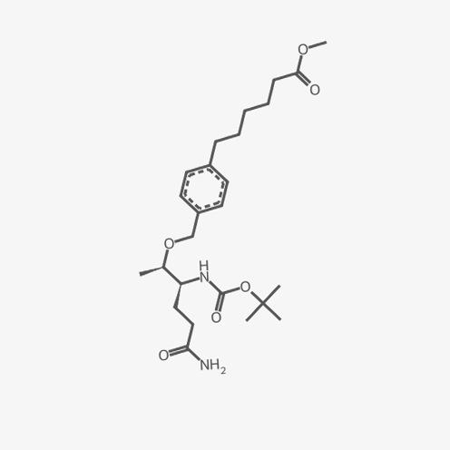 COC(=O)CCCCCc1ccc(CO[C@H](C)[C@H](CCC(N)=O)NC(=O)OC(C)(C)C)cc1